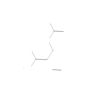 CC[C@@H](COC(F)F)C(C)C